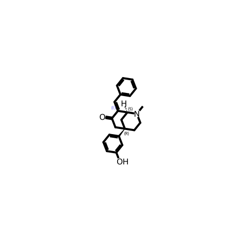 CN1CC[C@]2(c3cccc(O)c3)CC(=O)/C(=C/c3ccccc3)[C@@H]1C2